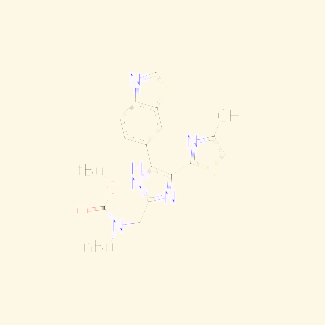 CCCCN(Cc1nc(-c2nc(C)cs2)c(-c2ccc3ncsc3c2)[nH]1)C(=O)OC(C)(C)C